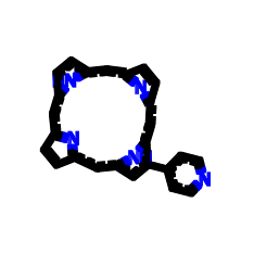 C1=Cc2cc3cc(-c4ccncc4)c(cc4nc(cc5ccc(cc1n2)[nH]5)C=C4)[nH]3